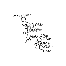 COc1cc2c(cc1OC)C(Cc1cc(OC)c(OC)c(OC)c1)[N+](C)(CCCOC(=O)CCC(=O)OCCC[N+]1(C)CCc3cc(OC)c(OC)c(OC)c3C1c1cc(OC)c(OC)c(OC)c1)CC2